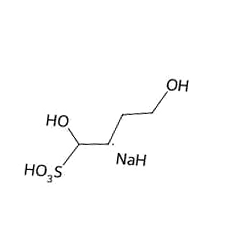 O=S(=O)(O)C(O)[CH]CCO.[NaH]